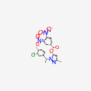 Cc1cc(OC(=O)c2ccc([N+](=O)[O-])c([N+](=O)[O-])c2)n(C(C)c2ccc(C)c(Cl)c2)n1